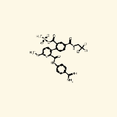 COc1ccc(-c2ccc(C(=O)NCC(Cl)(Cl)Cl)cc2C(=O)OS(C)(=O)=O)c(C(=O)Nc2ccc(C(=N)N)cc2)n1